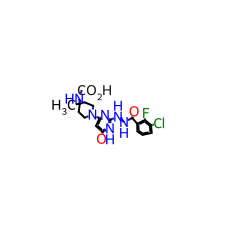 CC1(NC(=O)O)CCN(c2cc(=O)[nH]c(NNC(=O)c3cccc(Cl)c3F)n2)CC1